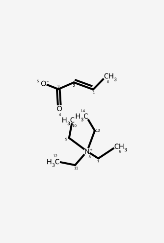 C/C=C/C(=O)[O-].CC[N+](CC)(CC)CC